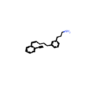 C#Cc1ccccc1/C=C\CCCc1cccc(CCCN)c1